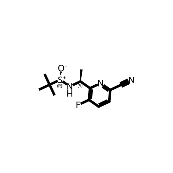 C[C@H](N[S@@+]([O-])C(C)(C)C)c1nc(C#N)ccc1F